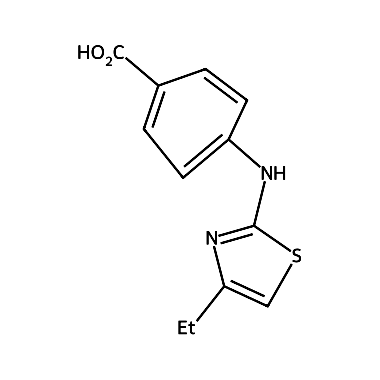 CCc1csc(Nc2ccc(C(=O)O)cc2)n1